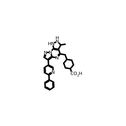 CC1NNc2c1c(CC1CCC(C(=O)O)CC1)nc1c(-c3ccc(-c4ccccc4)nc3)cnn21